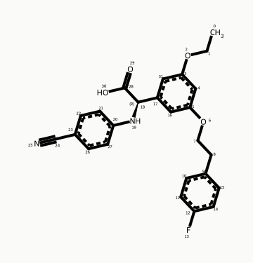 CCOc1cc(OCCc2ccc(F)cc2)cc([C@@H](Nc2ccc(C#N)cc2)C(=O)O)c1